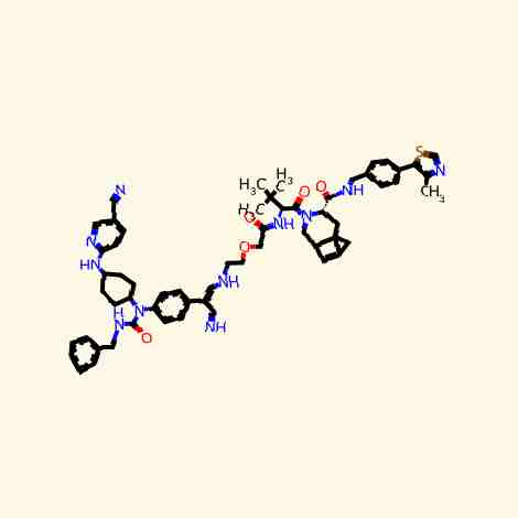 Cc1ncsc1-c1ccc(CNC(=O)[C@@H]2CC34CC3=CC4CN2C(=O)[C@@H](NC(=O)COCCN/C=C(\C=N)c2ccc(N(C(=O)NCc3ccccc3)C3CCC(Nc4ccc(C#N)cn4)CC3)cc2)C(C)(C)C)cc1